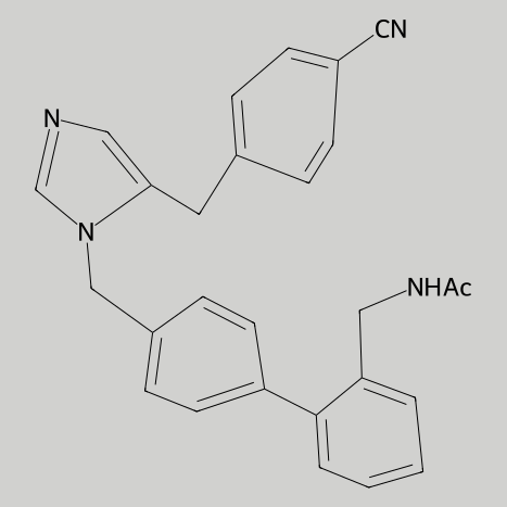 CC(=O)NCc1ccccc1-c1ccc(Cn2cncc2Cc2ccc(C#N)cc2)cc1